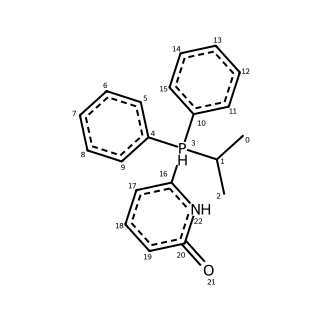 CC(C)[PH](c1ccccc1)(c1ccccc1)c1cccc(=O)[nH]1